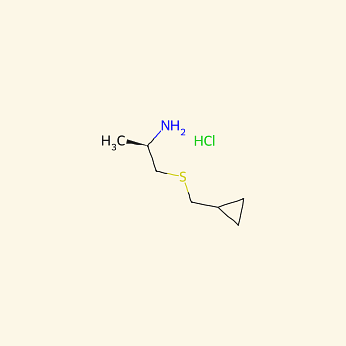 C[C@@H](N)CSCC1CC1.Cl